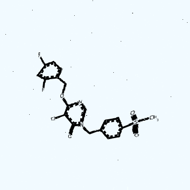 CS(=O)(=O)c1ccc(Cn2cnc(OCc3ccc(F)cc3F)c(Cl)c2=O)cc1